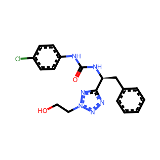 O=C(Nc1ccc(Cl)cc1)N[C@@H](Cc1ccccc1)c1nnn(CCO)n1